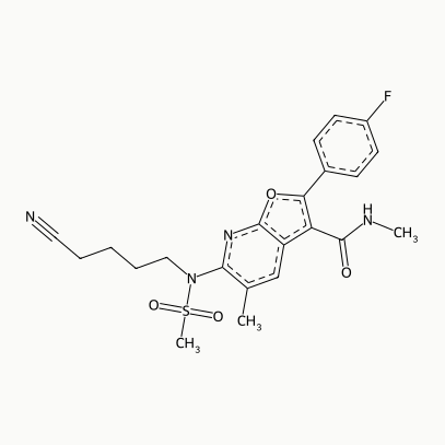 CNC(=O)c1c(-c2ccc(F)cc2)oc2nc(N(CCCCC#N)S(C)(=O)=O)c(C)cc12